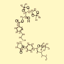 CCCCC[C@H](O[Si](C)(C)C(C)(C)C)c1ccc(N2C(=O)CC[C@@H]2CCCc2ccc(C(=O)OC[C@H](O)[C@H]3OC(C)(C)O[C@@H]3[C@H]3COC(C)(C)O3)s2)cc1